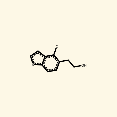 OCCc1ccc2sccc2c1Cl